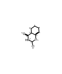 O=C1NC(Cl)OC2=CCCCC12